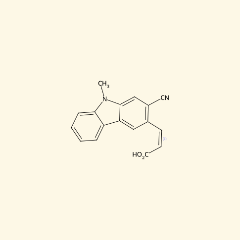 Cn1c2ccccc2c2cc(/C=C\C(=O)O)c(C#N)cc21